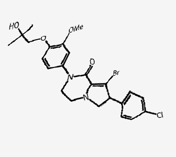 COc1cc(N2CCN3CC(c4ccc(Cl)cc4)C(Br)=C3C2=O)ccc1OCC(C)(C)O